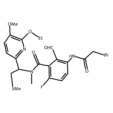 CCOc1nc(C(CSC)N(C)C(=O)c2c(F)ccc(NC(=O)CC(C)C)c2C=O)ccc1OC